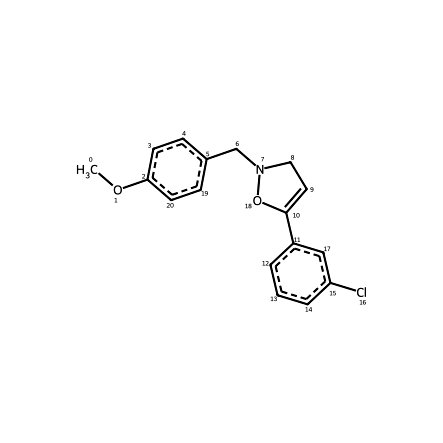 COc1ccc(CN2CC=C(c3cccc(Cl)c3)O2)cc1